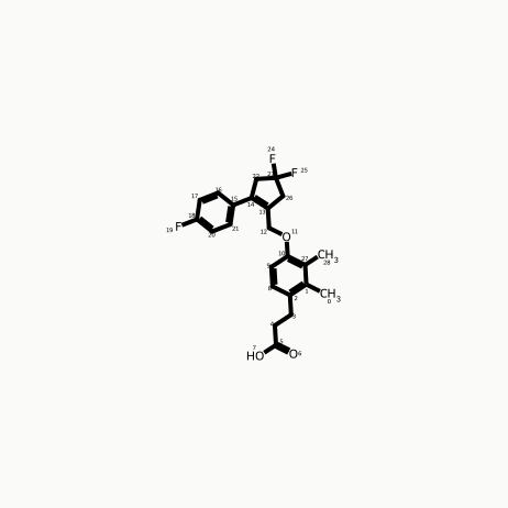 Cc1c(CCC(=O)O)ccc(OCC2=C(c3ccc(F)cc3)CC(F)(F)C2)c1C